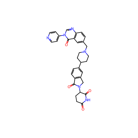 O=C1CCC(N2Cc3cc(C4CCN(Cc5ccc6ncn(-c7ccncc7)c(=O)c6c5)CC4)ccc3C2=O)C(=O)N1